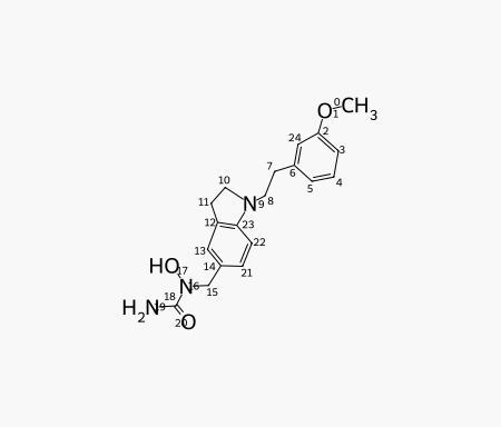 COc1cccc(CCN2CCc3cc(CN(O)C(N)=O)ccc32)c1